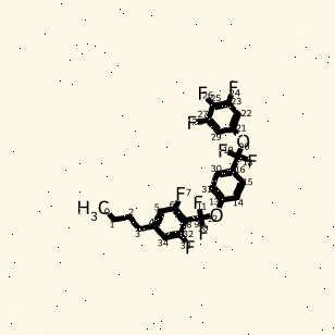 CCCCc1cc(F)c(C(F)(F)Oc2ccc(C(F)(F)Oc3cc(F)c(F)c(F)c3)cc2)c(F)c1